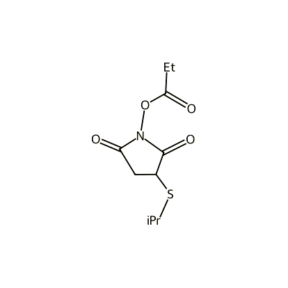 CCC(=O)ON1C(=O)CC(SC(C)C)C1=O